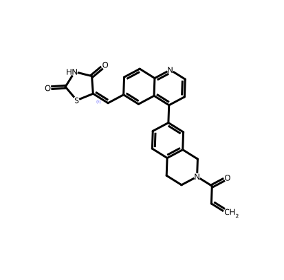 C=CC(=O)N1CCc2ccc(-c3ccnc4ccc(/C=C5/SC(=O)NC5=O)cc34)cc2C1